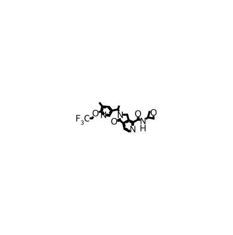 Cc1cc(C(C)N2Cc3c(ccnc3C(=O)NC3COC3)C2=O)cnc1OCC(F)(F)F